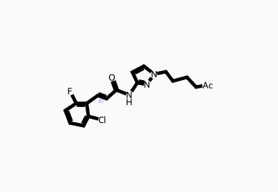 CC(=O)CCCCn1ccc(NC(=O)/C=C/c2c(F)cccc2Cl)n1